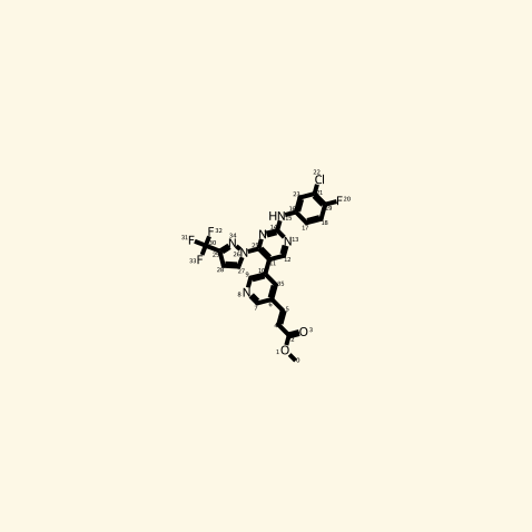 COC(=O)C=Cc1cncc(-c2cnc(Nc3ccc(F)c(Cl)c3)nc2-n2ccc(C(F)(F)F)n2)c1